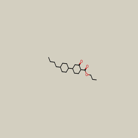 CCCCC1CCC(C2CCC(C(=O)OCCC)C(=O)C2)CC1